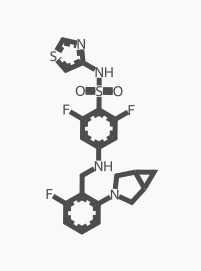 O=S(=O)(Nc1cscn1)c1c(F)cc(NCc2c(F)cccc2N2CC3CC3C2)cc1F